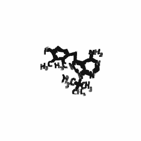 Cc1c(F)ccc(Cc2nn(C(C)(C)C)c3ncnc(N)c23)c1C